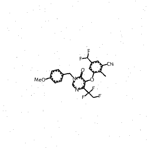 COc1ccc(Cn2cnc(C(F)(F)CF)c(Oc3cc(C(F)F)cc(C#N)c3C)c2=O)cc1